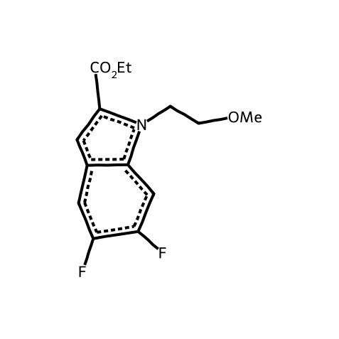 CCOC(=O)c1cc2cc(F)c(F)cc2n1CCOC